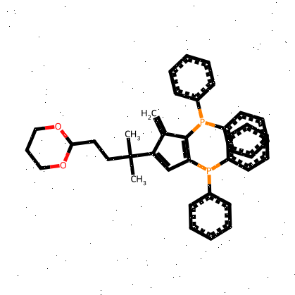 C=C1C(C(C)(C)CCC2OCCCO2)=CC(P(c2ccccc2)c2ccccc2)=C1P(c1ccccc1)c1ccccc1